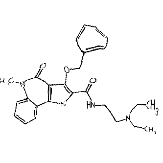 CCN(CC)CCNC(=O)c1sc2c(c1OCc1ccccc1)c(=O)n(C)c1ccccc21